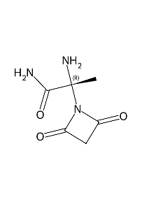 C[C@](N)(C(N)=O)N1C(=O)CC1=O